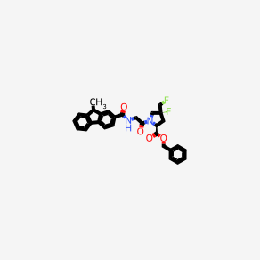 CC1c2ccccc2-c2ccc(C(=O)NCC(=O)N3C[C@@](F)(CF)C[C@H]3C(=O)OCc3ccccc3)cc21